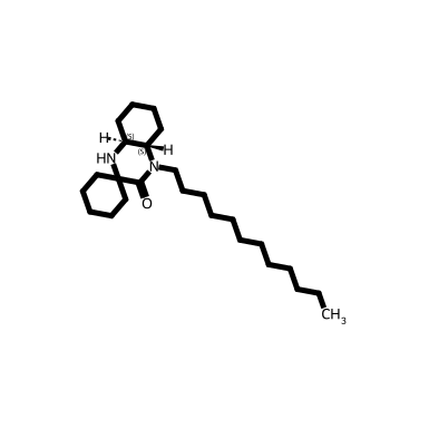 CCCCCCCCCCCCN1C(=O)C2(CCCCC2)N[C@H]2CCCC[C@@H]21